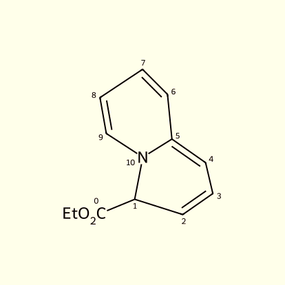 CCOC(=O)C1C=CC=C2C=CC=CN21